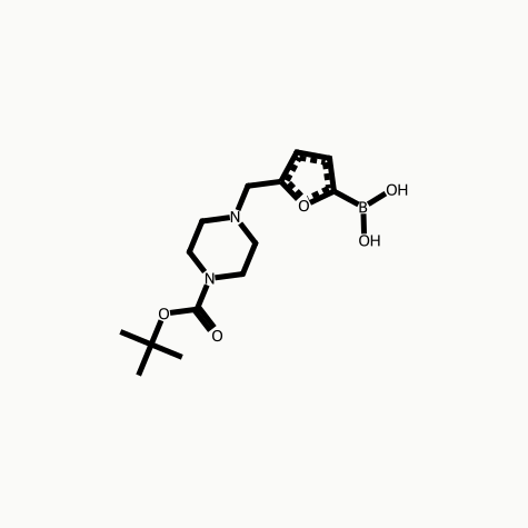 CC(C)(C)OC(=O)N1CCN(Cc2ccc(B(O)O)o2)CC1